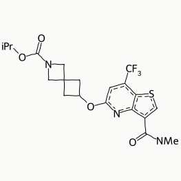 CNC(=O)c1csc2c(C(F)(F)F)cc(OC3CC4(C3)CN(C(=O)OC(C)C)C4)nc12